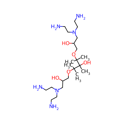 CC(C)(OCC(O)CN(CCN)CCN)C(C)(O)C(C)(C)OCC(O)CN(CCN)CCN